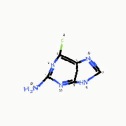 Nc1nc(F)c2nc[nH]c2n1